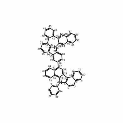 c1ccc(-n2c3ccc4ccccc4c3c3cc(-c4ccc5c(c4)c4cccc6c4n5-c4nc5ccccc5nc4-c4ccccc4-6)c4ccccc4c32)cc1